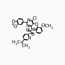 COc1ccccc1Oc1c(Cl)nc(-c2ccc3c(c2)OCO3)nc1NS(=O)(=O)c1ccc(C(C)C)cn1